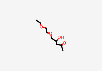 CCOCCOCC(O)CC(C)=O